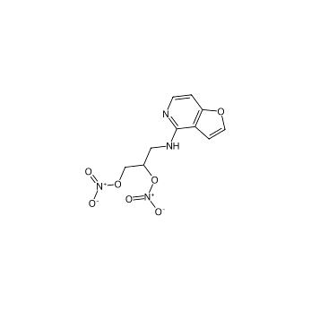 O=[N+]([O-])OCC(CNc1nccc2occc12)O[N+](=O)[O-]